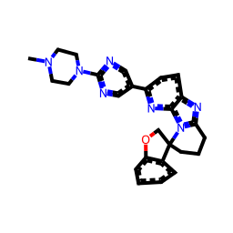 CN1CCN(c2ncc(-c3ccc4nc5n(c4n3)C3(CCC5)COc4ccccc43)cn2)CC1